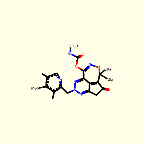 COc1c(C)cnc(CN2N=C3CC(=O)C4=C3C(=N2)C(OC(=O)NC(=O)O)=NSC4(C(C)(C)C)C(C)(C)C)c1C